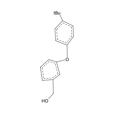 CC(C)(C)c1ccc(Oc2cccc(CO)c2)cc1